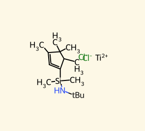 CC1=C=C([Si](C)(C)NC(C)(C)C)C(C)C1(C)C.[Cl-].[Cl-].[Ti+2]